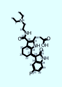 CC(=O)O.CCN(CC)CCNC(=O)c1c(C)[nH]c2c1CCCC2=C1C(=O)Nc2ccc(F)cc21